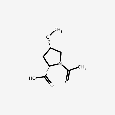 CO[C@H]1C[C@@H](C(=O)O)N(C(C)=O)C1